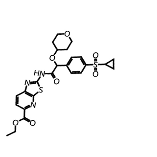 CCOC(=O)c1ccc2nc(NC(=O)C(OC3CCOCC3)c3ccc(S(=O)(=O)C4CC4)cc3)sc2n1